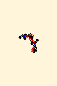 c1ccc(-c2ccc(N(c3ccc(-c4ccc5c(c4)C4(c6ccccc6Oc6ccccc64)c4ccccc4-5)cc3)c3cccc4c3oc3cc(-c5ccc6c(c5)C5(c7ccccc7O6)c6ccccc6-c6cc(-c7cccc(N(c8ccc9sc%10ccccc%10c9c8)c8ccccc8-c8ccccc8)c7)ccc65)ccc34)cc2)cc1